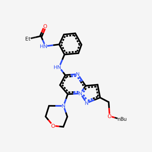 CCCCOCc1cc2nc(Nc3ccccc3NC(=O)CC)cc(N3CCOCC3)n2n1